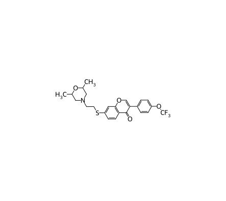 CC1CN(CCSc2ccc3c(=O)c(-c4ccc(OC(F)(F)F)cc4)coc3c2)CC(C)O1